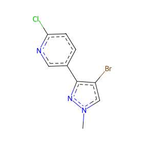 Cn1cc(Br)c(-c2ccc(Cl)nc2)n1